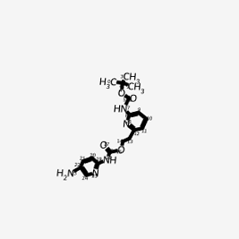 CC(C)(C)OC(=O)Nc1cccc(CCOC(=O)Nc2ccc(N)cn2)n1